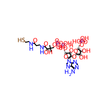 CC(C)(COP(=O)(O)OP(=O)(O)OC[C@H]1O[C@@H](n2cnc3c(N)ncnc32)[C@H](O[C@@H]2O[C@H](COP(=O)(O)O)[C@@H](O)[C@H]2O)[C@@H]1O)[C@@H](O)C(=O)NCCC(=O)NCCS